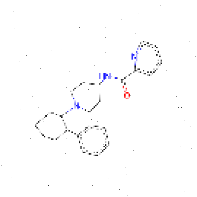 O=C(NC1CCN(C2CCCCC2c2ccccc2)CC1)c1ccccn1